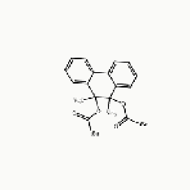 CC(C)(C)C(=O)OC1(C)c2ccccc2-c2ccccc2C1(C)OC(=O)C(C)(C)C